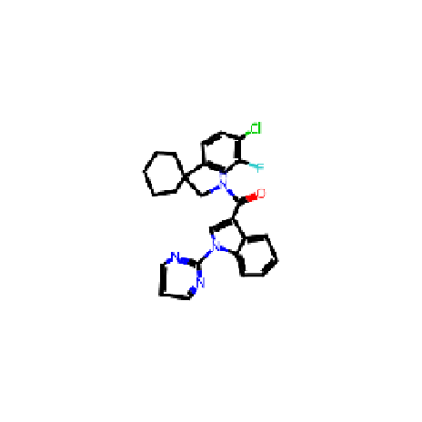 O=C(NCC1(c2ccc(Cl)c(F)c2)CCCCC1)c1cn(-c2ncccn2)c2ccccc12